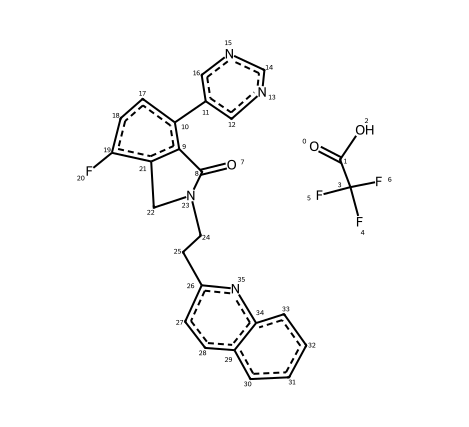 O=C(O)C(F)(F)F.O=C1c2c(-c3cncnc3)ccc(F)c2CN1CCc1ccc2ccccc2n1